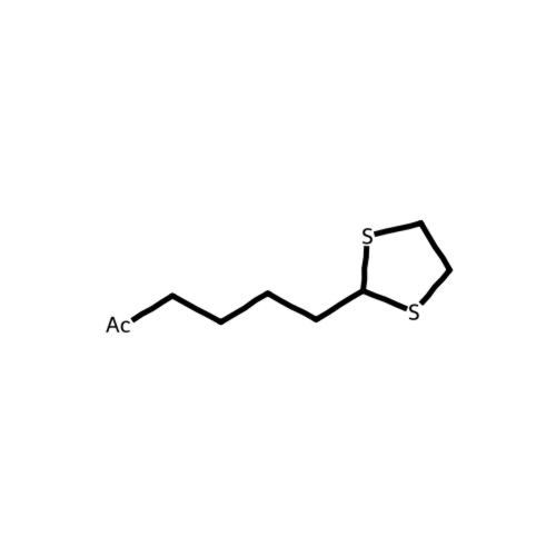 CC(=O)CCCCC1SCCS1